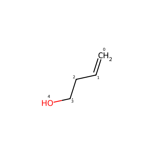 C=CC[CH]O